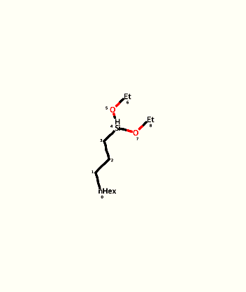 CCCCCCCCC[SiH](OCC)OCC